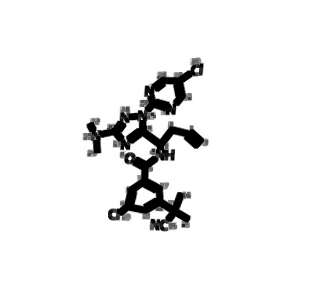 C#CCC(NC(=O)c1cc(Cl)cc(C(C)(C)C#N)c1)c1nc(N(C)C)nn1-c1ncc(Cl)cn1